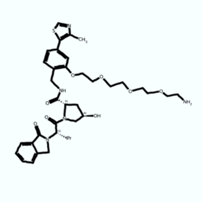 Cc1ncsc1-c1ccc(CNC(=O)[C@@H]2C[C@@H](O)CN2C(=O)[C@H](C(C)C)N2Cc3ccccc3C2=O)c(OCCOCCOCCOCCN)c1